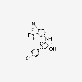 C[C@](O)(COc1ccc(Cl)cc1)C(=O)Nc1ccc(C#N)c(C(F)(F)F)c1